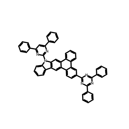 c1ccc(-c2cc(-c3ccccc3)nc(-n3c4ccccc4c4cc5c6ccc(-c7nc(-c8ccccc8)nc(-c8ccccc8)n7)cc6c6ccccc6c5cc43)n2)cc1